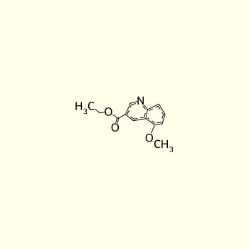 CCOC(=O)c1cnc2cccc(OC)c2c1